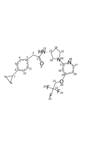 O=C(Cc1ccc(C2CC2)cc1)N[C@@H]1CCN(c2cc(OCC(F)(F)F)ccn2)C1